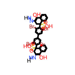 [H]/N=N/C1=C(O)c2ccccc2C(c2c(Br)cc(-c3cc(Br)c(C4(S(=O)(=O)O)CC(/N=N/[H])=C(O)c5ccccc54)c(Br)c3)cc2Br)(S(=O)(=O)O)C1